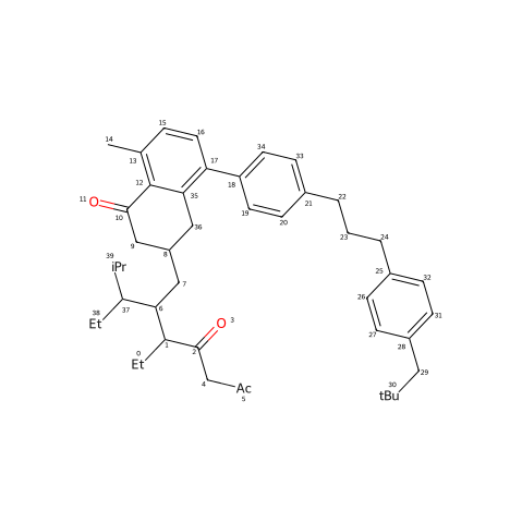 CCC(C(=O)CC(C)=O)C(CC1CC(=O)c2c(C)ccc(-c3ccc(CCCc4ccc(CC(C)(C)C)cc4)cc3)c2C1)C(CC)C(C)C